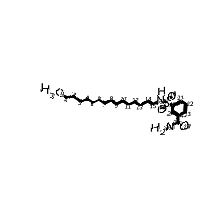 CCCCCCCCCCCCCCCCNS(=O)(=O)c1cccc(C(N)=O)c1